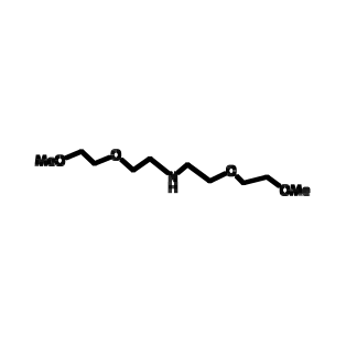 COCCOCCNCCOCCOC